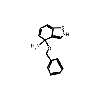 NC1(OCc2ccccc2)C=CC=C2SNC=C21